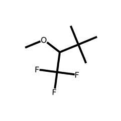 COC(C(C)(C)C)C(F)(F)F